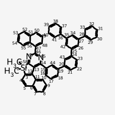 C[Si]1(C)c2ccc3ccccc3c2-c2c(-c3cccc(-c4cccc(-c5cc(-c6ccccc6)cc(-c6ccccc6)c5)c4)c3)nc(-c3cccc4ccccc34)nc21